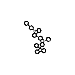 C1=CCCC(n2c3ccc(-c4cccc5c4c4ccccc4n5-c4ccc(-c5ccccc5)cc4)cc3c3cc(C4(c5ccccc5)c5ccccc5-c5ccccc54)ccc32)=C1